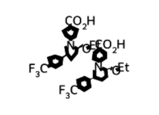 CCOC[C@@H]1CC[C@H](c2ccc(C(F)(F)F)cc2)CN1c1ccc(C(=O)O)cc1.CCOC[C@H]1CC[C@@H](c2ccc(C(F)(F)F)cc2)CN1c1ccc(C(=O)O)cc1